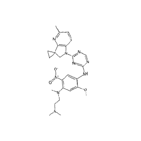 COc1cc(N(C)CCN(C)C)c([N+](=O)[O-])cc1Nc1ncnc(N2CC3(CC3)c3nc(C)ccc32)n1